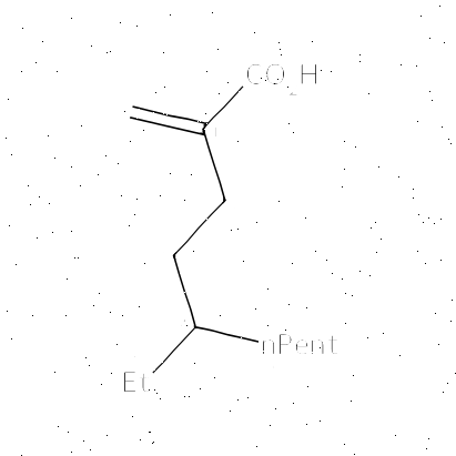 C=C(CCC(CC)CCCCC)C(=O)O